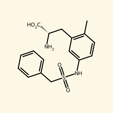 Cc1ccc(NS(=O)(=O)Cc2ccccc2)cc1C[C@H](N)C(=O)O